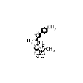 Cc1ccc(-c2cc([C@H](C)Nc3ncc(F)c(N4C(=O)OC[C@@H]4[C@@H](C)F)n3)no2)cc1